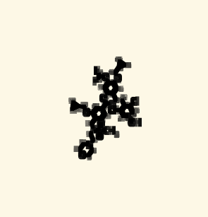 CS(=O)(=O)N(CCN1CCOCC1)Cc1ccc(C(=O)O[C@@H](Cc2c(Cl)c[n+](O)cc2Cl)c2ccc(OC(F)F)c(OCC3CC3)c2)cc1OCC1CC1